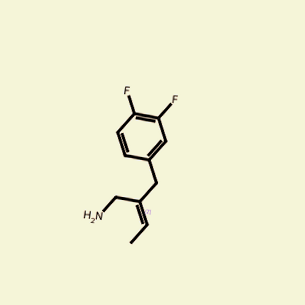 C/C=C(\CN)Cc1ccc(F)c(F)c1